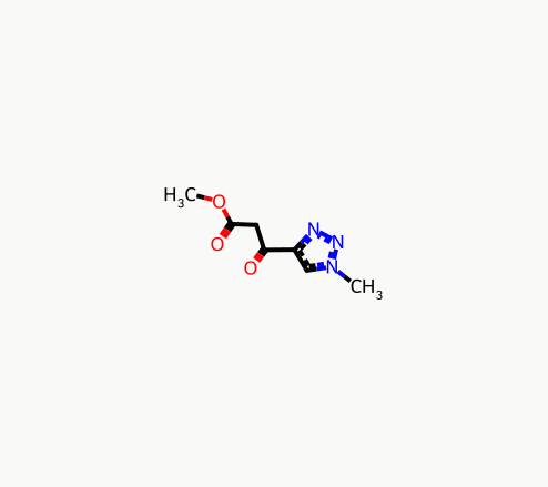 COC(=O)CC(=O)c1cn(C)nn1